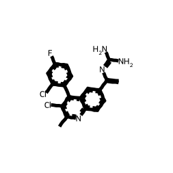 C=C(N=C(N)N)c1ccc2nc(C)c(Cl)c(-c3ccc(F)cc3Cl)c2c1